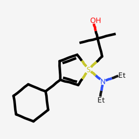 CCN(CC)S1(CC(C)(C)O)C=CC(C2CCCCC2)=C1